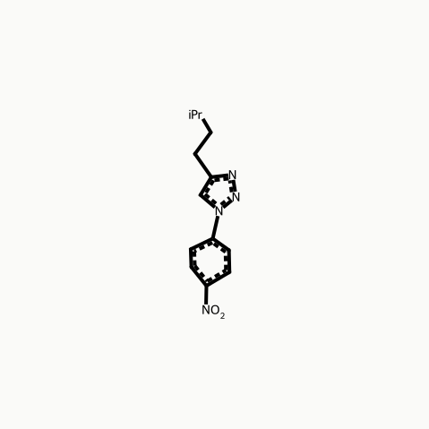 CC(C)CCc1cn(-c2ccc([N+](=O)[O-])cc2)nn1